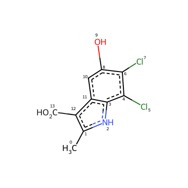 Cc1[nH]c2c(Cl)c(Cl)c(O)cc2c1C(=O)O